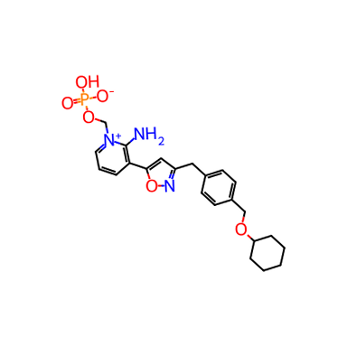 Nc1c(-c2cc(Cc3ccc(COC4CCCCC4)cc3)no2)ccc[n+]1COP(=O)([O-])O